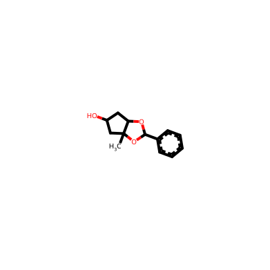 CC12CC(O)CC1OC(c1ccccc1)O2